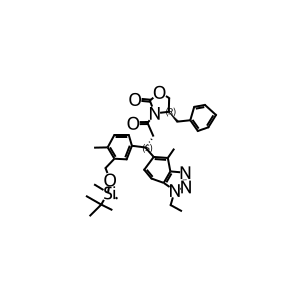 CCn1nnc2c(C)c([C@@H](CC(=O)N3C(=O)OC[C@H]3Cc3ccccc3)c3ccc(C)c(CO[Si](C)(C)C(C)(C)C)c3)ccc21